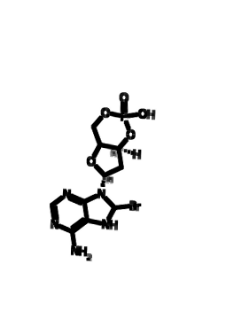 Nc1ncnc2c1NC(Br)N2[C@H]1C[C@@H]2OP(=O)(O)OCC2O1